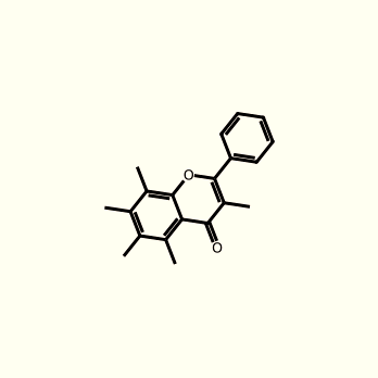 Cc1c(C)c(C)c2c(=O)c(C)c(-c3ccccc3)oc2c1C